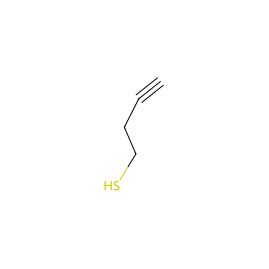 C#CCCS